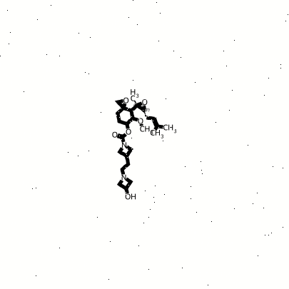 COC1C(OC(=O)N2CC(CCN3CC(O)C3)C2)CCC2(CO2)C1[C@@]1(C)O[C@@H]1CC=C(C)C